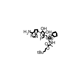 C[C@H](NSP(=O)(OC[C@@]1(CF)O[C@@H](c2ccc3c(N)ncnn23)[C@H](O)[C@@H]1O)Oc1ccccc1)C(=O)OCCC(C)(C)C